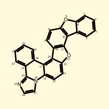 c1ccc2c(c1)oc1ccc3c(oc4ccc5c(c6ccccc6c6nccn56)c43)c12